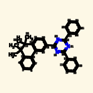 CC1(C)c2ccccc2-c2cc(-c3nc(-c4ccccc4)nc(-c4ccccc4)n3)ccc2C1(C)C